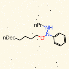 CCCCCCCCCCCCCCON(NCCC)c1ccccc1